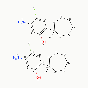 CC1(c2cc(F)c(N)cc2O)CCCCCC1.CC1(c2cc(F)c(N)cc2O)CCCCCC1